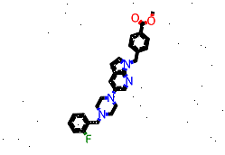 COC(=O)c1ccc(Cn2ccc3cc(N4CCN(Cc5ccccc5F)CC4)cnc32)cc1